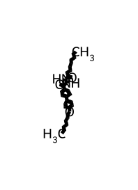 CCCCCCCCC(=O)NNC(=O)c1ccc(-c2ccc(OCCCCCCC)cc2)cc1